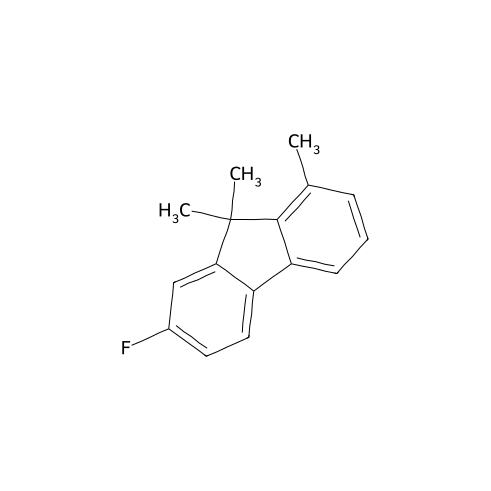 Cc1cccc2c1C(C)(C)c1cc(F)ccc1-2